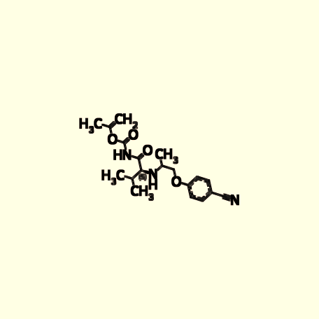 C=C(C)OC(=O)NC(=O)[C@@H](NC(C)COc1ccc(C#N)cc1)C(C)C